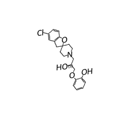 Oc1ccccc1OC[C@@H](O)CN1CCC2(CC1)Cc1cc(Cl)ccc1O2